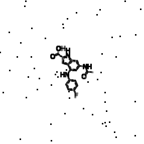 CC(=O)Nc1cc(Nc2ccc(F)cc2)c2cc(C(=O)O)[nH]c2c1